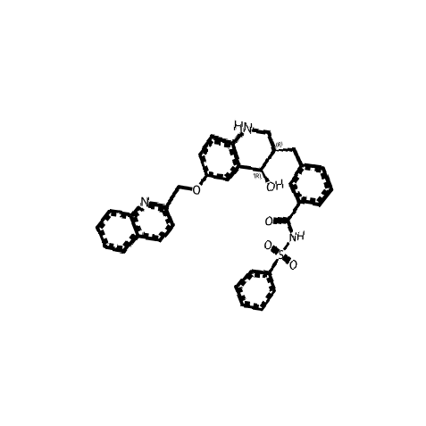 O=C(NS(=O)(=O)c1ccccc1)c1cccc(C[C@@H]2CNc3ccc(OCc4ccc5ccccc5n4)cc3[C@@H]2O)c1